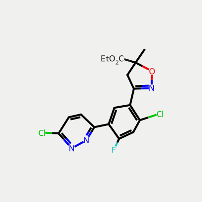 CCOC(=O)C1(C)CC(c2cc(-c3ccc(Cl)nn3)c(F)cc2Cl)=NO1